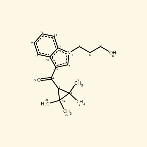 CC1(C)C(C(=O)c2cn(CCCO)c3ccccc23)C1(C)C